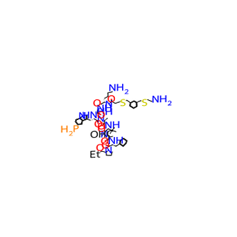 CCC(=O)C1CCCN1C(=O)[C@H](Cc1ccccc1)NC(=O)CN(C)C(=O)[C@@H](NC(=O)[C@H](C)NC(=O)[C@H](Cc1cn(C)c2ccc(P)cc12)NC(=O)CNC(=O)[C@H](CCCCN)NC(=O)CCSCc1cccc(CSCCN)c1)C(C)(C)C=O